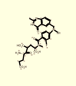 CCN(Cc1ccc2nc(C)[nH]c(=O)c2c1)c1ccc(C(=O)N(C)[C@@H](CC(C(=O)O)C(=O)[C@@H](N)CCC(=O)O)C(=O)O)c(F)c1